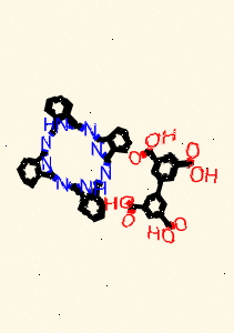 O=C(O)c1cc(C(=O)O)cc(-c2cc(C(=O)O)cc(C(=O)O)c2)c1.c1ccc2c(c1)-c1nc-2nc2[nH]c(nc3nc(nc4[nH]c(n1)c1ccccc41)-c1ccccc1-3)c1ccccc21